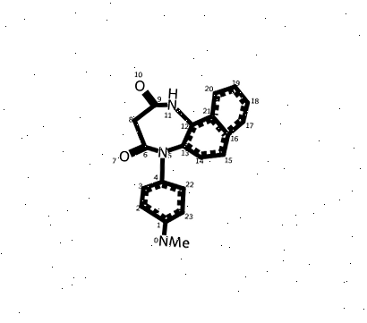 CNc1ccc(N2C(=O)CC(=O)Nc3c2ccc2ccccc32)cc1